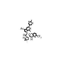 CC(=O)c1cn(CC(=O)N2[C@H](C(=O)Nc3nc(C(F)(F)F)ccc3C)C[C@@]3(C)C[C@@H]23)c2c(C)nc(-c3cnc(C)nc3)cc12